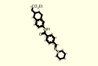 CCOC(=O)CC1CCc2cc(NC(=O)c3ccc(/C=N/N4CCCCC4)cc3)ccc2C1